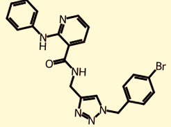 O=C(NCc1cn(Cc2ccc(Br)cc2)nn1)c1cccnc1Nc1ccccc1